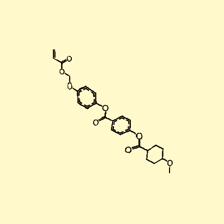 C=CC(=O)OCOc1ccc(OC(=O)c2ccc(OC(=O)C3CCC(OC)CC3)cc2)cc1